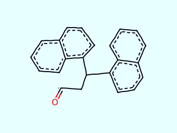 O=[C]CC(c1cccc2ccccc12)c1cccc2ccccc12